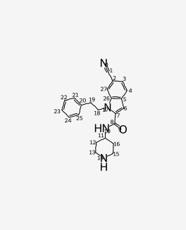 N#Cc1ccc2cc(C(=O)NC3CCNCC3)n(CCc3ccccc3)c2c1